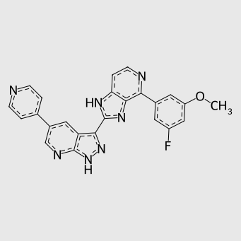 COc1cc(F)cc(-c2nccc3[nH]c(-c4n[nH]c5ncc(-c6ccncc6)cc45)nc23)c1